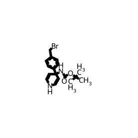 CC(C)(C)OC(=O)NC1(c2ccc(CBr)cc2)C=CNC=C1